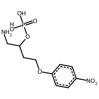 NCC(CCOc1ccc([N+](=O)[O-])cc1)OP(=O)(O)O